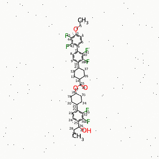 CCOc1ccc(-c2ccc(C3CCC(C(=O)OC4CCC(c5ccc(C(O)CC)c(F)c5F)CC4)CC3)c(F)c2F)c(F)c1F